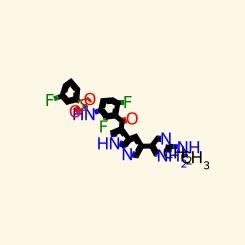 C=C(/N=C\C(=C/N)c1cnc2[nH]cc(C(=O)c3c(F)ccc(NS(=O)(=O)c4cccc(F)c4)c3F)c2c1)NC